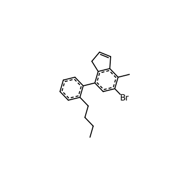 CCCCc1ccccc1-c1cc(Br)c(C)c2c1CC=C2